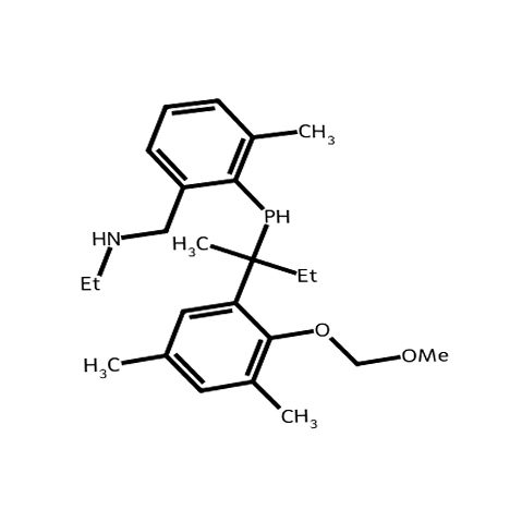 CCNCc1cccc(C)c1PC(C)(CC)c1cc(C)cc(C)c1OCOC